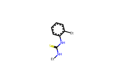 CCNC(=S)Nc1ccccc1CC